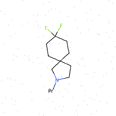 CC(C)N1CCC2(CCC(F)(F)CC2)C1